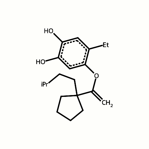 C=C(Oc1cc(O)c(O)cc1CC)C1(CCC(C)C)CCCC1